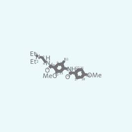 CCN(CC)CCNC(=O)c1cc(I)c(NC(=O)c2ccc(OC)cc2)cc1OC